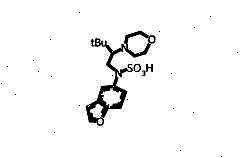 CC(C)(C)C(CN(c1ccc2occc2c1)S(=O)(=O)O)N1CCOCC1